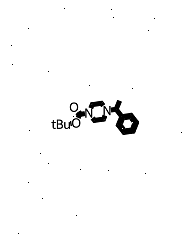 CC(c1ccccc1)N1CCN(C(=O)OC(C)(C)C)CC1